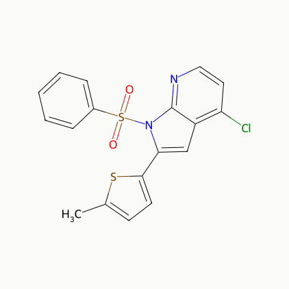 Cc1ccc(-c2cc3c(Cl)ccnc3n2S(=O)(=O)c2ccccc2)s1